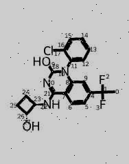 CC(F)(F)c1ccc2c(c1)N(c1ccccc1Cl)C(O)N=C2N[C@@H]1CC[C@H]1O